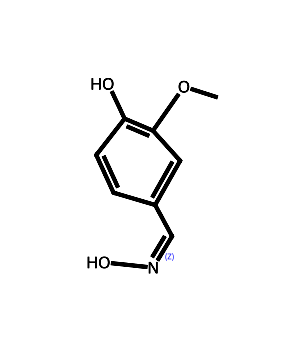 COc1cc(/C=N\O)ccc1O